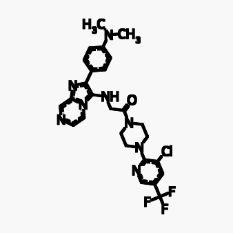 CN(C)c1ccc(-c2nc3cnccn3c2NCC(=O)N2CCN(c3ncc(C(F)(F)F)cc3Cl)CC2)cc1